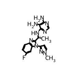 C[C@H](Nc1ncnc(N)c1N)c1nc2ccc(F)cc2n1-c1ccn(C)n1